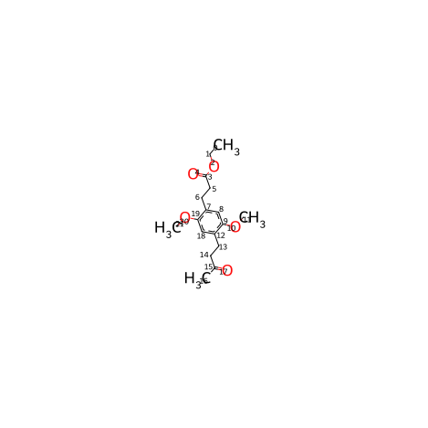 CCOC(=O)CCc1cc(OC)c(CCC(C)=O)cc1OC